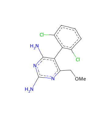 COCc1nc(N)nc(N)c1-c1c(Cl)cccc1Cl